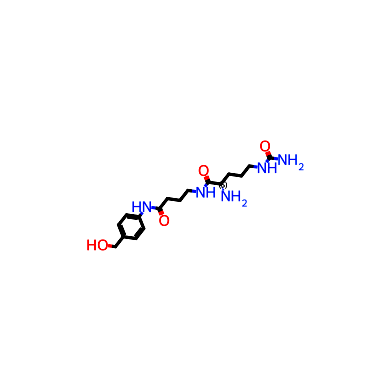 NC(=O)NCCC[C@H](N)C(=O)NCCCC(=O)Nc1ccc(CO)cc1